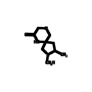 CC1CC2(COCC(=O)N2)CN1C(=O)O